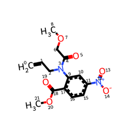 C=CCN(C(=O)COC)c1cc([N+](=O)[O-])ccc1C(=O)OC